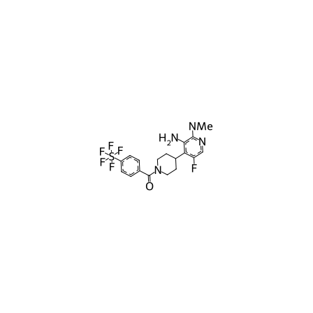 CNc1ncc(F)c(C2CCN(C(=O)c3ccc(S(F)(F)(F)(F)F)cc3)CC2)c1N